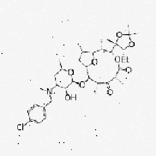 CC[C@H]1OC(C)(C)O[C@@]1(C)[C@@H]1OC(=O)[C@H](C)C(=O)[C@H](C)[C@@H](O[C@@H]2OC(C)CC(N(C)Cc3ccc(Cl)cc3)C2O)[C@@]2(C)CC(C)C(O2)[C@@H]1C